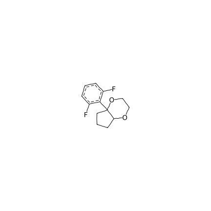 Fc1cccc(F)c1C12CCCC1OCCO2